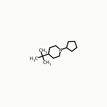 CC(C)(C)C1CCN(C2CCCC2)CC1